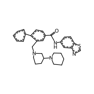 O=C(Nc1ccc2scnc2c1)c1ccc(-c2ccccc2)c(CN2CCCC(N3CCCCC3)C2)c1